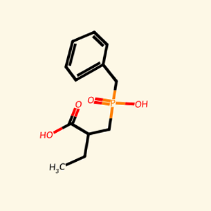 CCC(CP(=O)(O)Cc1ccccc1)C(=O)O